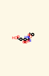 CC(OC(=O)Nc1cnoc1-c1ccc(-c2ccc(CC(=O)O)cc2)c2c1OCO2)c1ccccc1